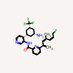 C=C(/C=C(C)\C=C/CF)c1cccc(C(=O)Nc2cnccc2[C@H]2C[C@@H](N)C[C@@H](C(F)(F)F)C2)n1